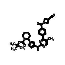 Cc1cnc(Nc2cnn(C3CCCCN3C(=O)OC(C)(C)C)c2)nc1-c1ccc(C(=O)N2CC(C#N)C2)cc1